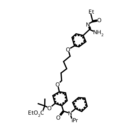 CCOC(=O)C(C)(C)Oc1cc(OCCCCCOc2ccc(C(N)=NC(=O)CC)cc2)ccc1C(=O)N(c1ccccc1)C(C)C